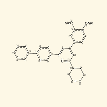 COc1ccc(C(C=Cc2ccc(-c3ccccc3)cc2)=CC(=O)N2CCOCC2)cc1OC